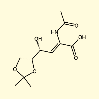 CC(=O)N/C(=C\[C@@H](O)[C@H]1COC(C)(C)O1)C(=O)O